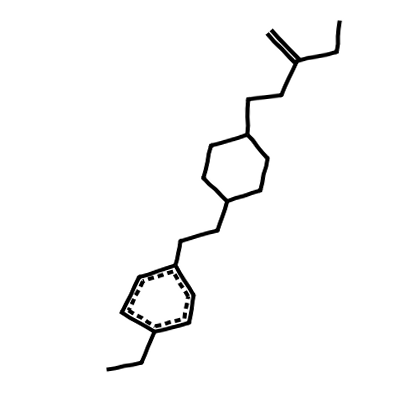 C=C(CC)CCC1CCC(CCc2ccc(CC)cc2)CC1